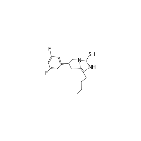 CCCCC1=C2C[C@@H](c3cc(F)cc(F)c3)CN2C(S)N1